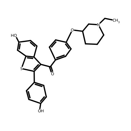 CCN1CCCC(Oc2ccc(C(=O)c3c(-c4ccc(O)cc4)sc4cc(O)ccc34)cc2)C1